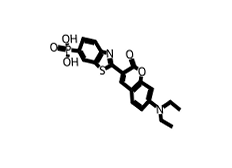 CCN(CC)c1ccc2cc(-c3nc4ccc(P(=O)(O)O)cc4s3)c(=O)oc2c1